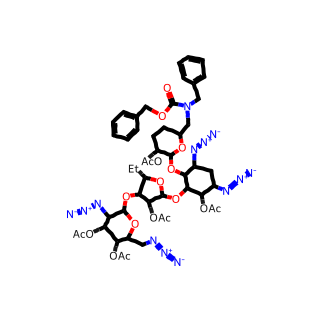 CCC1OC(OC2C(OC(C)=O)C(N=[N+]=[N-])CC(N=[N+]=[N-])C2OC2OC(CN(Cc3ccccc3)C(=O)OCc3ccccc3)CCC2OC(C)=O)C(OC(C)=O)C1OC1OC(CN=[N+]=[N-])C(OC(C)=O)C(OC(C)=O)C1N=[N+]=[N-]